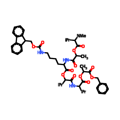 CNC(C(=O)OC(C)C(=O)NC(CCCCNC(=O)OCC1c2ccccc2-c2ccccc21)C(=O)OC(C(=O)NC(C(=O)OC(C)C(=O)OCc1ccccc1)C(C)C)C(C)C)C(C)C